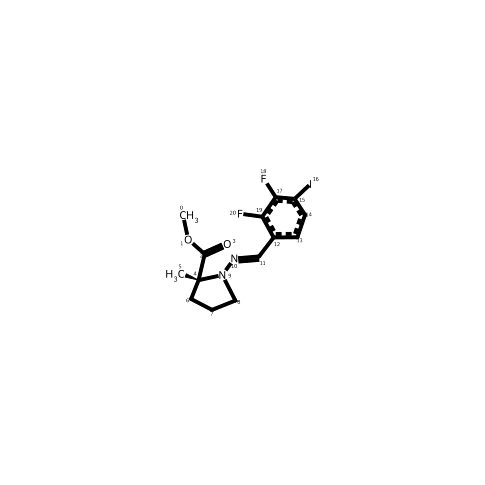 COC(=O)[C@@]1(C)CCCN1N=Cc1ccc(I)c(F)c1F